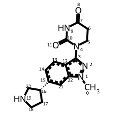 Cn1nc(N2CCC(=O)NC2=O)c2ccc([C@@H]3CCNC3)cc21